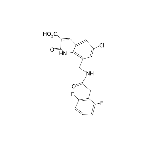 O=C(Cc1c(F)cccc1F)NCc1cc(Cl)cc2cc(C(=O)O)c(=O)[nH]c12